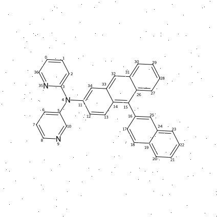 c1ccc(N(c2cccnc2)c2ccc3c(-c4ccc5ccccc5c4)c4ccccc4cc3c2)nc1